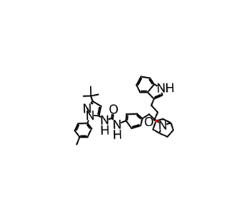 Cc1ccc(-n2nc(C(C)(C)C)cc2NC(=O)Nc2ccc(CC3CC4CCC(C3)N4C(=O)CCc3c[nH]c4ccccc34)cc2)cc1